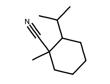 CC(C)C1CCCCC1(C)C#N